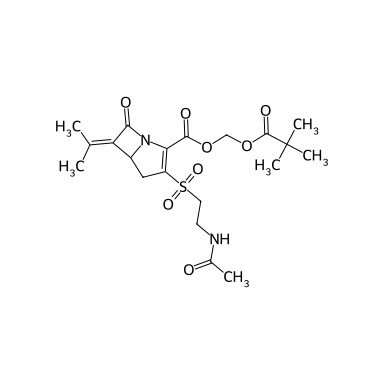 CC(=O)NCCS(=O)(=O)C1=C(C(=O)OCOC(=O)C(C)(C)C)N2C(=O)C(=C(C)C)C2C1